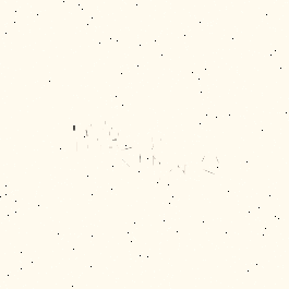 CC1(C)OB(c2ccc3c(c2)C(=O)N(CC(=O)N2CCc4ccccc4C2)C3)OC1(C)C